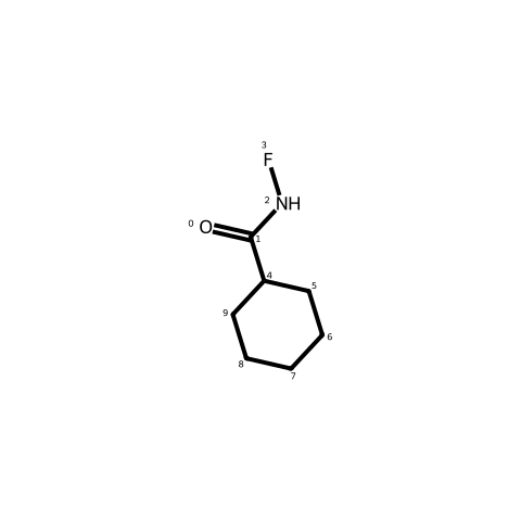 O=C(NF)C1CCCCC1